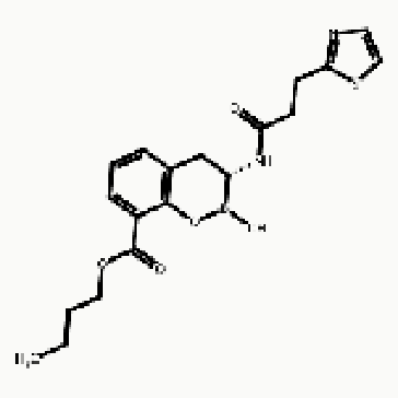 CCCCOC(=O)c1cccc2c1OB(O)[C@@H](NC(=O)CCc1nccs1)C2